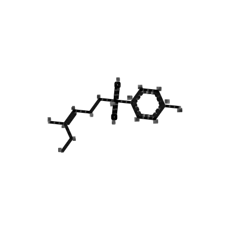 CC/C(C)=C\CCS(=O)(=O)c1ccc(C)cc1